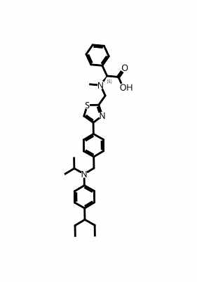 CCC(CC)c1ccc(N(Cc2ccc(-c3csc(CN(C)[C@H](C(=O)O)c4ccccc4)n3)cc2)C(C)C)cc1